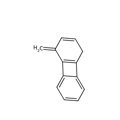 C=C1C=CCC2=C1c1ccccc12